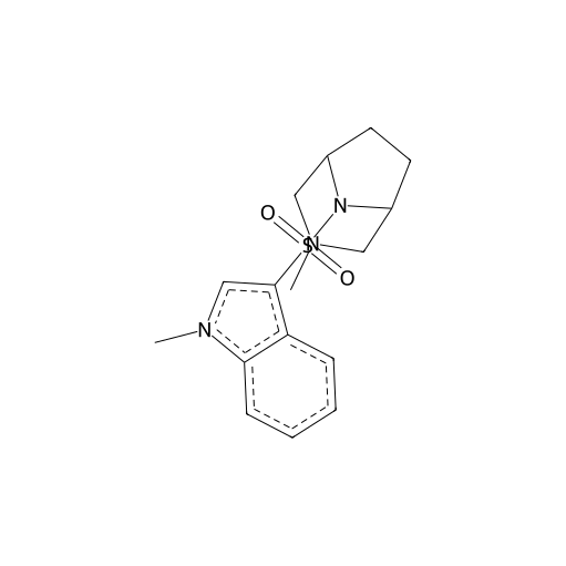 CN1CC2CCC(C1)N2S(=O)(=O)c1cn(C)c2ccccc12